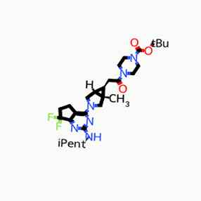 CCC[C@H](C)Nc1nc(N2C[C@@H]3[C@@H](CC(=O)N4CCN(C(=O)OC(C)(C)C)CC4)[C@]3(C)C2)c2c(n1)C(F)(F)CC2